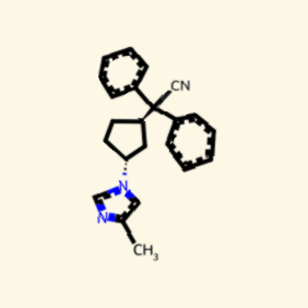 Cc1cn([C@@H]2CC[C@@H](C(C#N)(c3ccccc3)c3ccccc3)C2)cn1